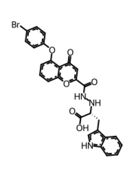 O=C(NN[C@H](Cc1c[nH]c2ccccc12)C(=O)O)c1cc(=O)c2c(Oc3ccc(Br)cc3)cccc2o1